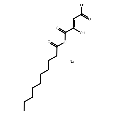 CCCCCCCCCC(=O)OC(=O)/C(O)=C/C(=O)[O-].[Na+]